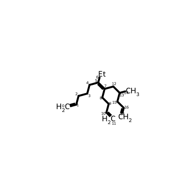 C=CCCCC(CC)=C(CCC=C)CC(C)CC=C